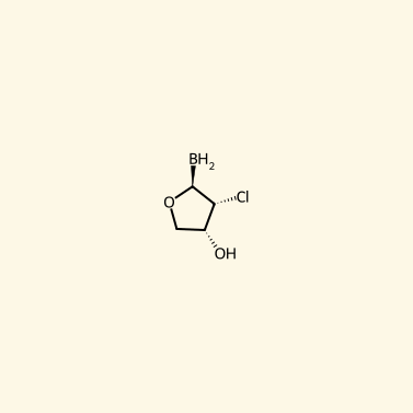 B[C@@H]1OC[C@@H](O)[C@H]1Cl